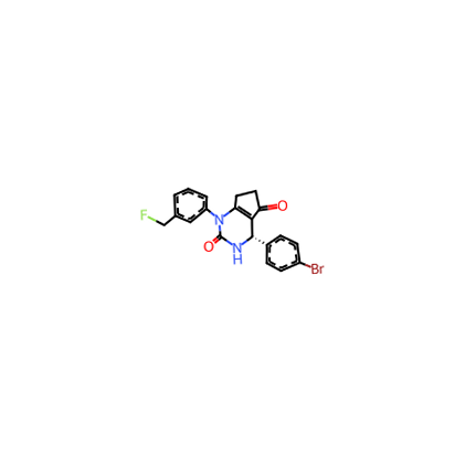 O=C1CCC2=C1[C@H](c1ccc(Br)cc1)NC(=O)N2c1cccc(CF)c1